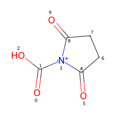 O=C(O)[N+]1C(=O)CCC1=O